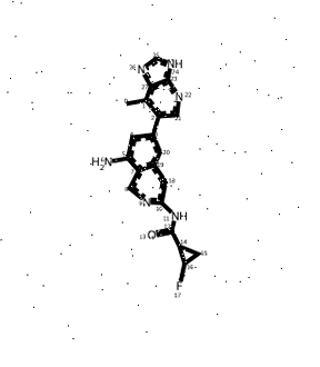 Cc1c(-c2cc(N)c3cnc(NC(=O)C4CC4F)cc3c2)cnc2[nH]cnc12